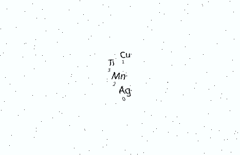 [Ag].[Cu].[Mn].[Ti]